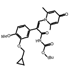 COc1ccc(/C(=C/n2c(C)cc(=O)cc2C)C(=O)NC(=O)OC(C)(C)C)cc1OCC1CC1